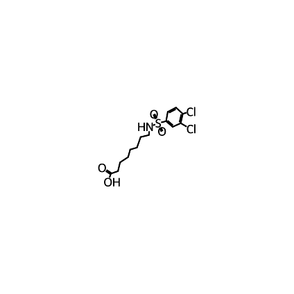 O=C(O)CCCCCCCNS(=O)(=O)c1ccc(Cl)c(Cl)c1